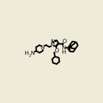 NC1CCN(CCn2ncc(C(=O)NC3C4CC5CC(C4)CC3C5)c2OCC2CCCCC2)CC1